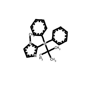 Cn1ccnc1[Si](c1ccccc1)(c1ccccc1)C(C)(C)C